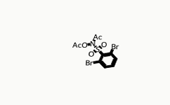 CC(=O)ON(C(C)=O)S(=O)(=O)c1c(Br)cccc1Br